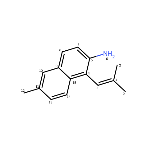 CC(C)=Cc1c(N)ccc2cc(C)ccc12